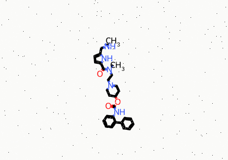 CNCc1ccc(C(=O)N(C)CCN2CCC(OC(=O)Nc3ccccc3-c3ccccc3)CC2)[nH]1